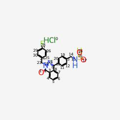 Cl.O=c1c2ccccc2c(-c2ccc(CN[SH](=O)=O)cc2)nn1Cc1ccc(F)cc1